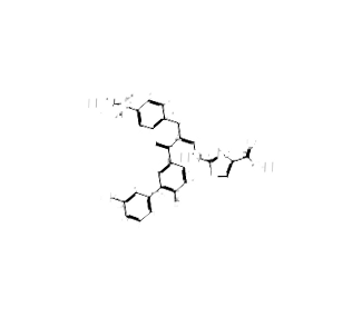 C=C(/C(=C\Nc1nc(C(=O)O)cs1)Cc1ccc(S(N)(=O)=O)cc1)c1ccc(F)c(-c2cccc(Cl)c2)c1